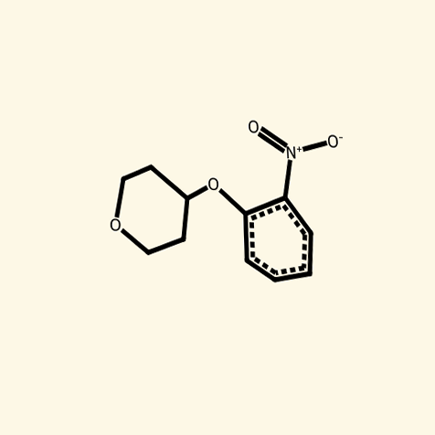 O=[N+]([O-])c1ccccc1OC1CCOCC1